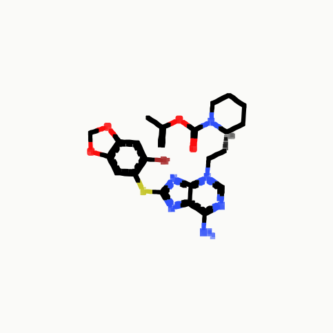 C=C(C)OC(=O)N1CCCC[C@@H]1CCn1cnc(N)c2nc(Sc3cc4c(cc3Br)OCO4)nc1-2